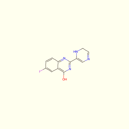 Oc1nc(C2=CN=CCN2)nc2ccc(I)cc12